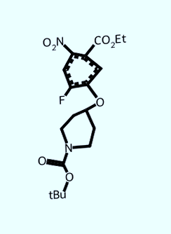 CCOC(=O)c1cc(OC2CCN(C(=O)OC(C)(C)C)CC2)c(F)cc1[N+](=O)[O-]